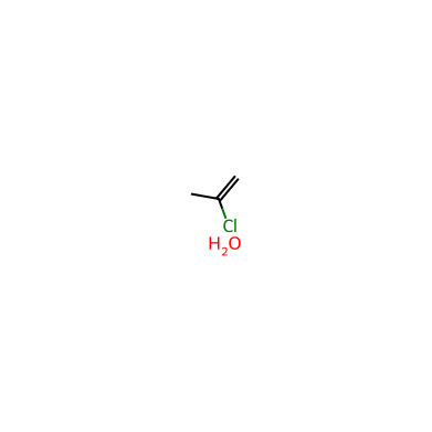 C=C(C)Cl.O